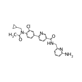 CC(=O)N(CC1CC1)c1ccc(-c2ccc(C(=O)NCc3cccc(N)n3)cn2)cc1Cl